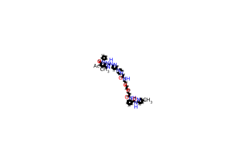 CC(=O)c1c(C)c2cnc(Nc3ccc(N4CCN(CC(=O)NCCOCCOCCC(=O)Nc5ccccc5C(=O)Nc5ccc(C)cn5)CC4)cn3)nc2n(C2CCCC2)c1=O